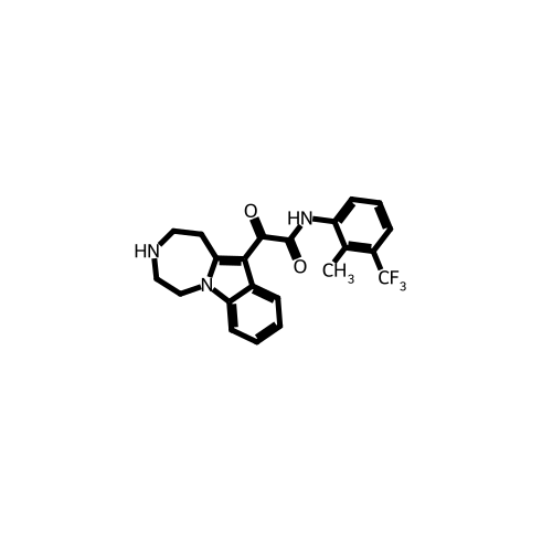 Cc1c(NC(=O)C(=O)c2c3n(c4ccccc24)CCNCC3)cccc1C(F)(F)F